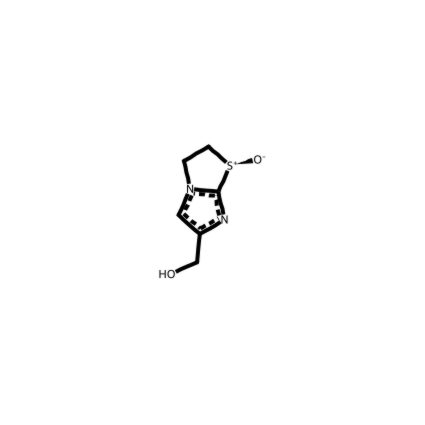 [O-][S@+]1CCn2cc(CO)nc21